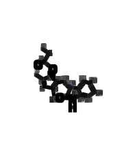 CCC(=O)On1c(C)cc(C)c1/C=C1\C(=O)Nc2ccccc21